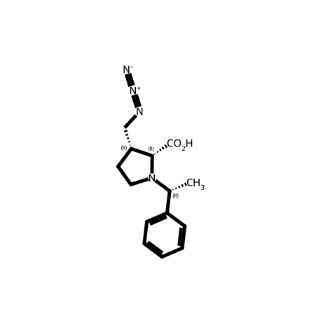 C[C@H](c1ccccc1)N1CC[C@H](CN=[N+]=[N-])[C@@H]1C(=O)O